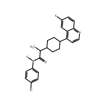 CC(C(=O)N(F)c1ccc(Cl)cc1)C1CCC(c2ccnc3ccc(F)cc23)CC1